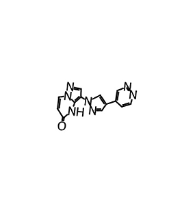 O=c1ccn2ncc(-n3cc(-c4ccnnc4)cn3)c2[nH]1